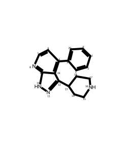 [c]1cccc(-c2ccnc3[nH]nc(C4CCNCC4)c23)c1